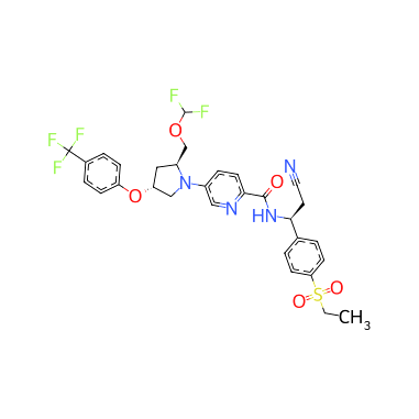 CCS(=O)(=O)c1ccc([C@H](CC#N)NC(=O)c2ccc(N3C[C@H](Oc4ccc(C(F)(F)F)cc4)C[C@H]3COC(F)F)cn2)cc1